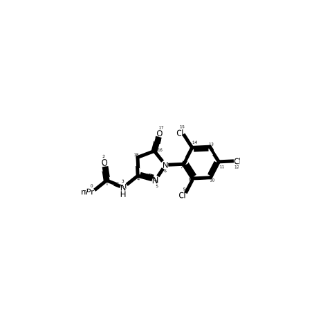 CCCC(=O)NC1=NN(c2c(Cl)cc(Cl)cc2Cl)C(=O)C1